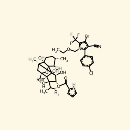 CC(C)[C@@]1(O)[C@@H](OC(=O)c2ccc[nH]2)[C@@]2(O)[C@@]3(C)C[C@]4(O)O[C@@]5([C@H](O)[C@@H](C)CC[C@]35O)[C@@]2(O)[C@@]14C.CCOCn1c(-c2ccc(Cl)cc2)c(C#N)c(Br)c1C(F)(F)F